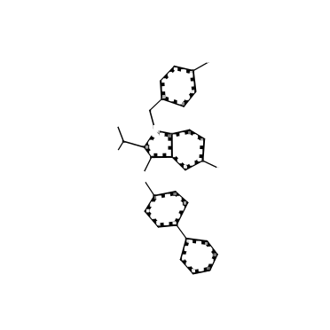 OC(O)c1c(Oc2ccc(-c3ccccc3)cc2)c2cc(Cl)ccc2n1Cc1ccc(Cl)cc1